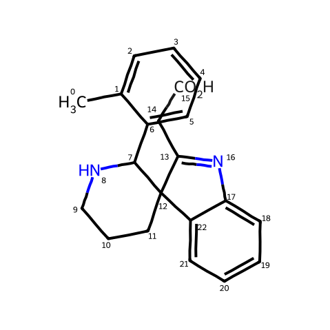 Cc1ccccc1C1NCCCC12C(CC(=O)O)=Nc1ccccc12